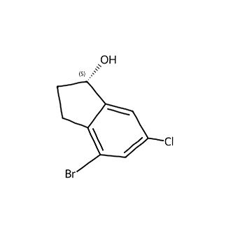 O[C@H]1CCc2c(Br)cc(Cl)cc21